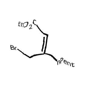 CCCCCC(=CC(=O)OCC)CBr